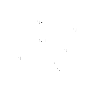 CN(C)[C@H]1CCc2[nH]c3ccc(CN(C)[C@H]4Cc5[nH]c6cccnc6c5C4)nc3c2C1